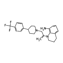 C=C(CN1CCC(c2ccc(C(F)(F)F)cc2)CC1)N1CCCc2cccc(N)c21